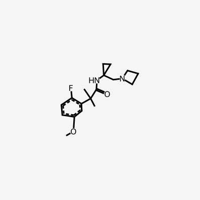 COc1ccc(F)c(C(C)(C)C(=O)NC2(CN3CCC3)CC2)c1